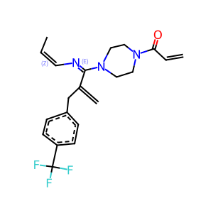 C=CC(=O)N1CCN(/C(=N/C=C\C)C(=C)Cc2ccc(C(F)(F)F)cc2)CC1